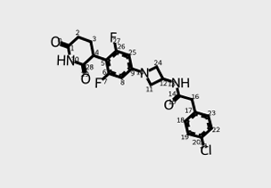 O=C1CCC(c2c(F)cc(N3CC(NC(=O)Cc4ccc(Cl)cc4)C3)cc2F)C(=O)N1